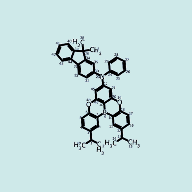 CC(C)c1ccc2c(c1)B1c3cc(C(C)C)ccc3Oc3cc(N(c4ccccc4)c4ccc5c(c4)C(C)(C)c4ccccc4-5)cc(c31)O2